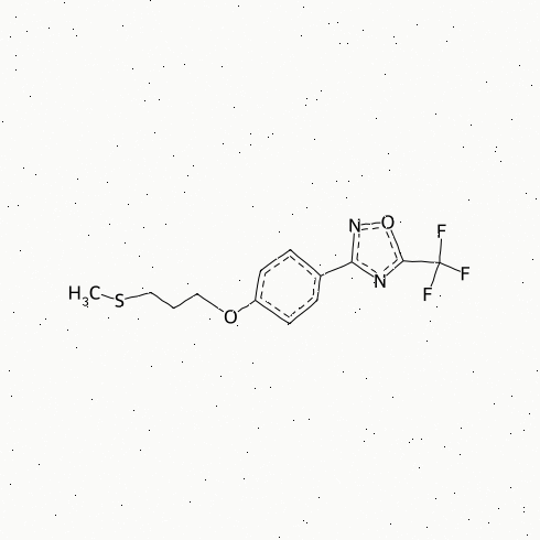 CSCCCOc1ccc(-c2noc(C(F)(F)F)n2)cc1